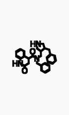 O=C1CC(C(=O)N(Cc2ccccc2)CC2CNCC2Cc2ccccc2)c2ccccc2N1